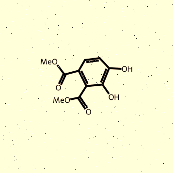 COC(=O)c1ccc(O)c(O)c1C(=O)OC